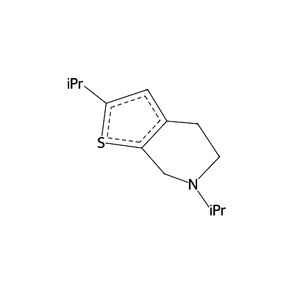 CC(C)c1cc2c(s1)CN(C(C)C)CC2